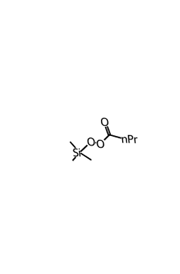 CCCC(=O)OO[Si](C)(C)C